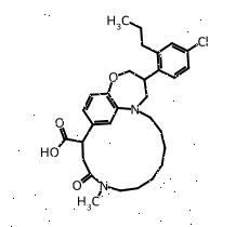 CCCc1cc(Cl)ccc1C1COc2ccc3cc2N(CCCCCCCN(C)C(=O)CC3C(=O)O)C1